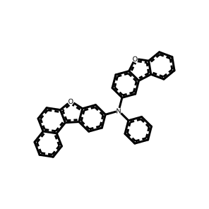 c1ccc(N(c2ccc3c(c2)oc2ccc4ccccc4c23)c2ccc3oc4ccccc4c3c2)cc1